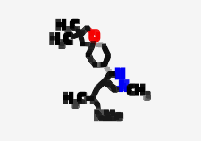 CNC[C](C)Cc1cn(C)nc1[C@H]1CC[C@]2(CC1)CC(C)(C)CO2